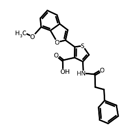 COc1cccc2cc(-c3scc(NC(=O)CCc4ccccc4)c3C(=O)O)oc12